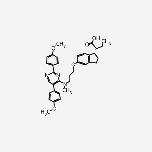 CCC(C(=O)O)[C@@H]1CCc2cc(OCCCN(C)c3nc(-c4ccc(OC)cc4)ncc3-c3ccc(OC)cc3)ccc21